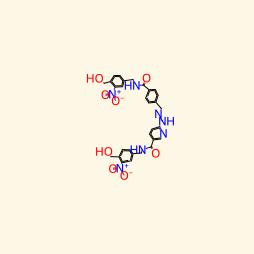 O=C(NCc1ccc(CO)c([N+](=O)[O-])c1)c1ccc(C=NNc2ccc(C(=O)NCc3ccc(CO)c([N+](=O)[O-])c3)cn2)cc1